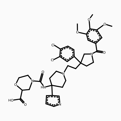 COc1cc(C(=O)N2CCC(CCN3CCC(NC(=O)N4CCOC(C(=O)O)C4)(c4cccnc4)CC3)(c3ccc(Cl)c(Cl)c3)C2)cc(OC)c1OC